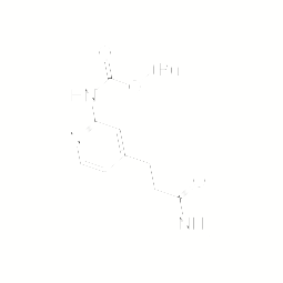 CC(C)(C)OC(=O)Nc1cc(CCC(N)=O)ccn1